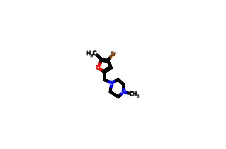 Cc1oc(CN2CCN(C)CC2)cc1Br